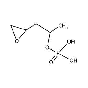 CC(CC1CO1)OP(=O)(O)O